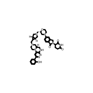 O=C1CCC(N2Cc3cc(N4CCO[C@@H](CN5C[C@@H]6C(CN7CCN8c9cc(-c%10ccccc%10O)nnc9NC[C@H]8C7)[C@@H]6C5)C4)ccc3C2=O)C(=O)N1